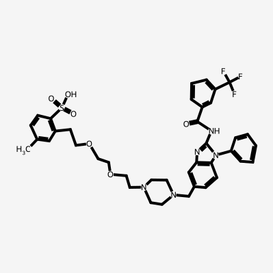 Cc1ccc(S(=O)(=O)O)c(CCOCCOCCN2CCN(Cc3ccc4c(c3)nc(NC(=O)c3cccc(C(F)(F)F)c3)n4-c3ccccc3)CC2)c1